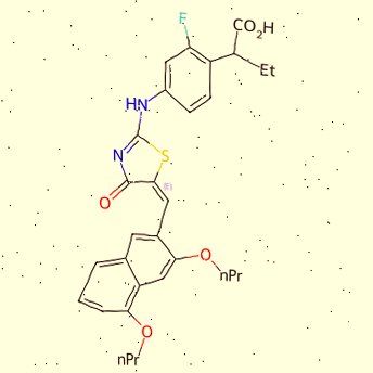 CCCOc1cc2c(OCCC)cccc2cc1/C=C1/SC(Nc2ccc(C(CC)C(=O)O)c(F)c2)=NC1=O